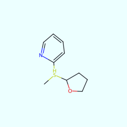 C[SH](c1ccccn1)C1CCCO1